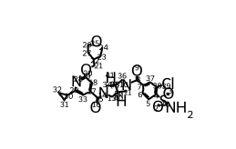 NS(=O)(=O)c1ccc(C(=O)N2C[C@H]3CN(C(=O)c4cc(OCC5CCOCC5)nc(C5CC5)c4)C[C@@H]3C2)cc1Cl